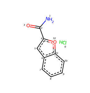 Cl.NC(=O)c1cc2ccccc2o1